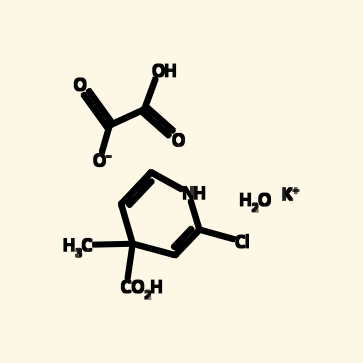 CC1(C(=O)O)C=CNC(Cl)=C1.O.O=C([O-])C(=O)O.[K+]